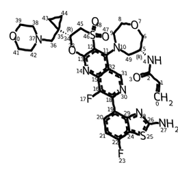 C=CC(=O)N[C@H]1COCCN(c2c3c(nc4c(F)c(-c5ccc(F)c6sc(N)nc56)ncc24)O[C@H](C2(CN4CCOCC4)CC2)CS3(=O)=O)C1